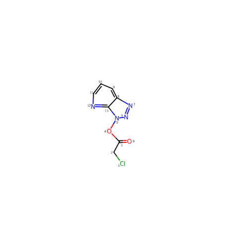 O=C(CCl)On1nnc2cccnc21